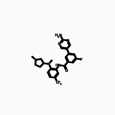 CN1CCC(N(C)c2ccc(C(F)(F)F)cc2NC(=O)c2cc(F)cc(-c3cnc(N)nc3)c2)C1